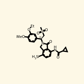 CCOc1cc([C@@H](CS(C)(=O)=O)N2Cc3c([SiH3])ccc(NC(=O)C4CC4)c3C2=O)ccc1OC